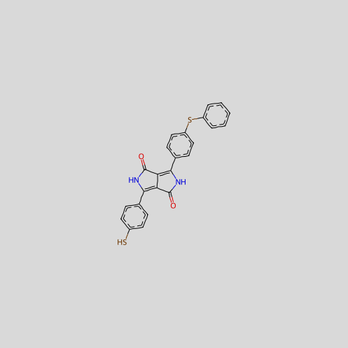 O=C1NC(c2ccc(Sc3ccccc3)cc2)=C2C(=O)NC(c3ccc(S)cc3)=C12